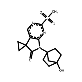 CS(=O)(=O)c1ncc2c(n1)N(C13CCC(O)(CC1)C3)C(=O)C21CC1